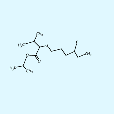 CCC(F)CCCSC(C(=O)OC(C)C)C(C)C